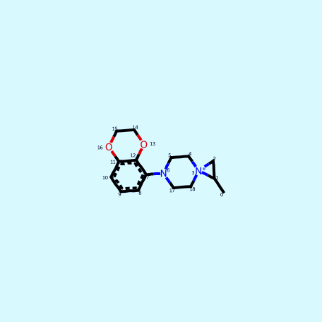 CC1C[N+]12CCN(c1cccc3c1OCCO3)CC2